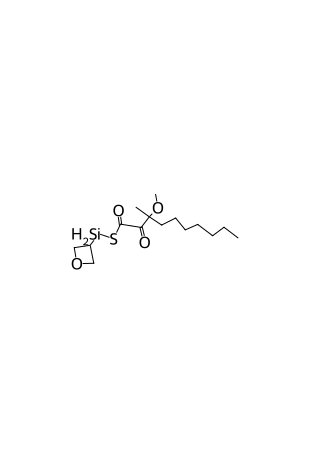 CCCCCCCC(C)(OC)C(=O)C(=O)S[SiH2]C1COC1